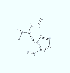 C=COC(=O)C(=C)C.C=Cc1ccccc1